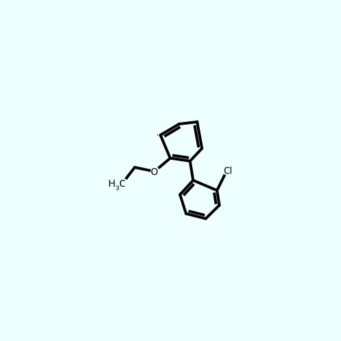 CCOc1[c]cccc1-c1ccccc1Cl